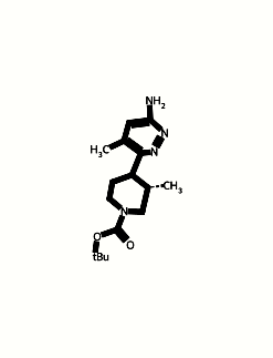 Cc1cc(N)nnc1C1CCN(C(=O)OC(C)(C)C)C[C@H]1C